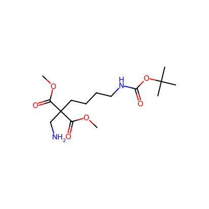 COC(=O)C(CN)(CCCCNC(=O)OC(C)(C)C)C(=O)OC